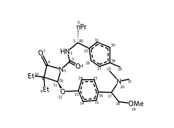 CCC[C@@H](NC(=O)N1C(=O)C(CC)(CC)[C@@H]1Oc1ccc(C(COC)N(C)C)cc1)c1ccc(C)cc1